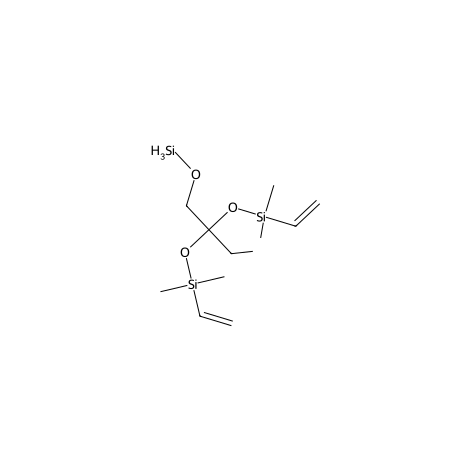 C=C[Si](C)(C)OC(CC)(CO[SiH3])O[Si](C)(C)C=C